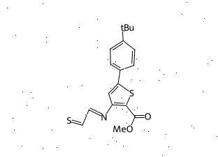 COC(=O)c1sc(-c2ccc(C(C)(C)C)cc2)cc1N=CC=S